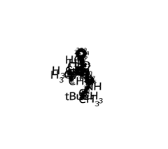 CC(C)(C)[Si](C)(C)OCC=O.CC(C)(C)[Si](C)(C)OCCN[C@H]1CCN(c2ccc3c(C(=O)NCC4(O)CCCCCC4)c(Cl)ccc3n2)C1